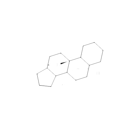 C[C@H]1CC[C@]2(O)[C@@H]3CC[C@@H]4CCCC[C@]4(C)[C@H]3CC[C@]12C